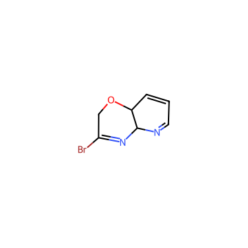 BrC1=NC2N=CC=CC2OC1